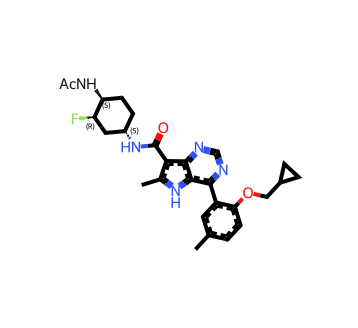 CC(=O)N[C@H]1CC[C@H](NC(=O)c2c(C)[nH]c3c(-c4cc(C)ccc4OCC4CC4)ncnc23)C[C@H]1F